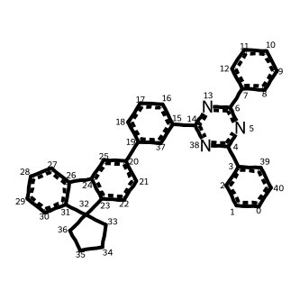 c1ccc(-c2nc(-c3ccccc3)nc(-c3cccc(-c4ccc5c(c4)-c4ccccc4C54CCCC4)c3)n2)cc1